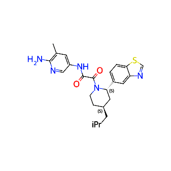 Cc1cc(NC(=O)C(=O)N2CC[C@H](CC(C)C)C[C@H]2c2ccc3scnc3c2)cnc1N